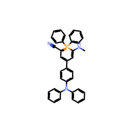 CNC1=CC(c2ccc(N(c3ccccc3)c3ccccc3)cc2)=CC(C#N)=P1(c1ccccc1)c1ccccc1